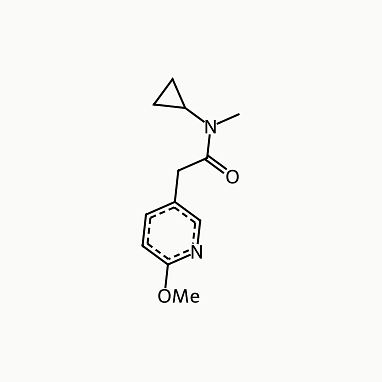 COc1ccc(CC(=O)N(C)C2CC2)cn1